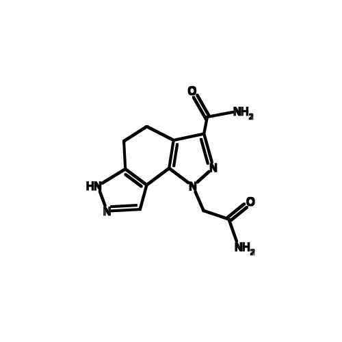 NC(=O)Cn1nc(C(N)=O)c2c1-c1cn[nH]c1CC2